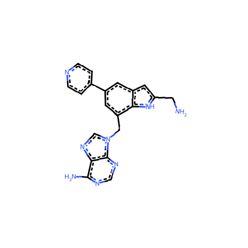 NCc1cc2cc(-c3ccncc3)cc(Cn3cnc4c(N)ncnc43)c2[nH]1